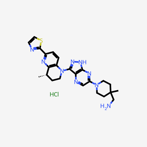 C[C@H]1CCN(c2n[nH]c3nc(N4CCC(C)(CN)CC4)cnc23)c2ccc(-c3nccs3)nc21.Cl